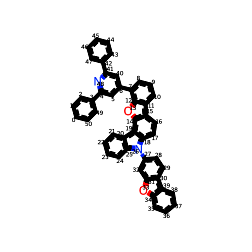 c1ccc(-c2cc(-c3cccc4c3oc3c4ccc4c3c3ccccc3n4-c3ccc4c(c3)oc3ccccc34)cc(-c3ccccc3)n2)cc1